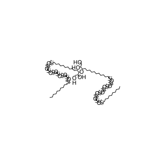 CCCCCCCCCC[Si](C)(C)O[Si](C)(C)O[Si](C)(C)O[Si](C)(C)O[Si](C)(C)O[Si](C)(C)O[Si](C)(C)O[Si](C)(C)CCCCCCCCCCCC(OC(CCCCCCCCCCC[Si](C)(C)O[Si](C)(C)O[Si](C)(C)O[Si](C)(C)O[Si](C)(C)O[Si](C)(C)O[Si](C)(C)O[Si](C)(C)CCCCCCCCCC)C(O)CO)C(O)CO